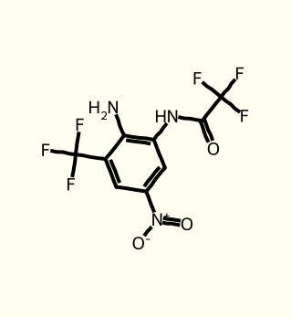 Nc1c(NC(=O)C(F)(F)F)cc([N+](=O)[O-])cc1C(F)(F)F